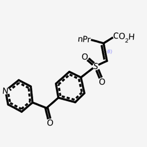 CCC/C(=C\S(=O)(=O)c1ccc(C(=O)c2ccncc2)cc1)C(=O)O